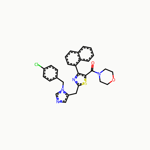 O=C(c1sc(Cc2cncn2Cc2ccc(Cl)cc2)nc1-c1cccc2ccccc12)N1CCOCC1